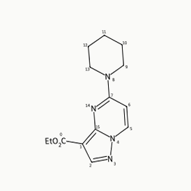 CCOC(=O)c1cnn2ccc(N3CCCCC3)nc12